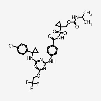 CC(C)NC(=O)OCC1(S(=O)(=O)NC(=O)c2ccc(Nc3nc(NC4(c5ccc(Cl)cc5)CC4)nc(OCC(F)(F)F)n3)cc2)CC1